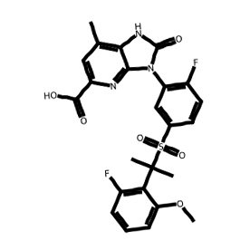 COc1cccc(F)c1C(C)(C)S(=O)(=O)c1ccc(F)c(-n2c(=O)[nH]c3c(C)cc(C(=O)O)nc32)c1